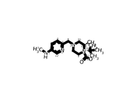 CNc1ccc(CN2CC[N+](C(=O)[O-])(C(C)(C)C)[C@@H](C)C2)nc1